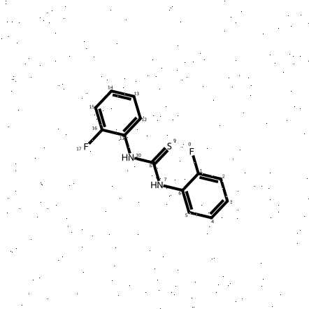 Fc1ccccc1NC(=S)Nc1ccccc1F